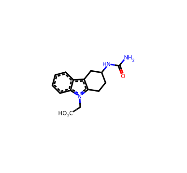 NC(=O)NC1CCc2c(c3ccccc3n2CC(=O)O)C1